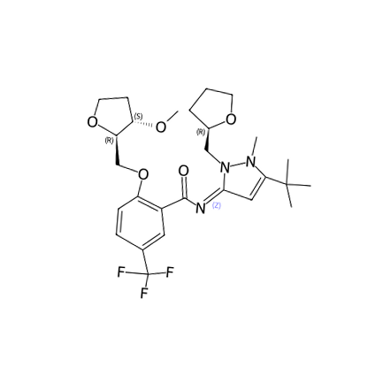 CO[C@H]1CCO[C@@H]1COc1ccc(C(F)(F)F)cc1C(=O)/N=c1/cc(C(C)(C)C)n(C)n1C[C@H]1CCCO1